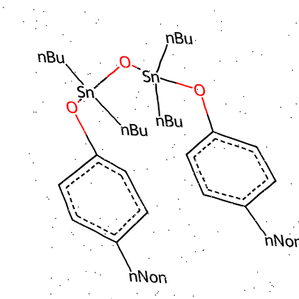 CCCCCCCCCc1ccc([O][Sn]([CH2]CCC)([CH2]CCC)[O][Sn]([CH2]CCC)([CH2]CCC)[O]c2ccc(CCCCCCCCC)cc2)cc1